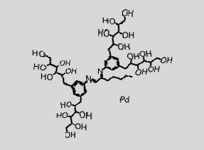 CCCCCC(C=Nc1cc(CC(O)C(O)C(O)C(O)CO)cc(CC(O)C(O)C(O)C(O)CO)c1)=Nc1cc(CC(O)C(O)C(O)C(O)CO)cc(CC(O)C(O)C(O)C(O)CO)c1.[Pd]